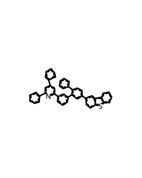 c1ccc(-c2cc(-c3ccccc3)nc(-c3cccc(-c4cc(-c5ccc6sc7ccccc7c6c5)ccc4-c4ccccc4)c3)c2)cc1